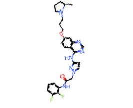 C[C@@H]1CCCN1CCCOc1ccc2c(Nc3ccn(CC(=O)Nc4cccc(F)c4F)n3)ncnc2c1